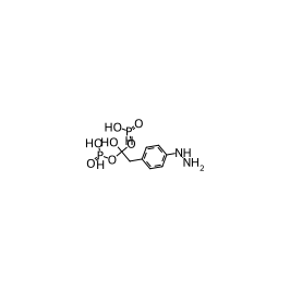 NNc1ccc(CC(O)(O[PH](=O)O)O[PH](=O)O)cc1